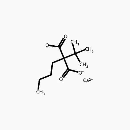 CCCCC(C(=O)[O-])(C(=O)[O-])C(C)(C)C.[Ca+2]